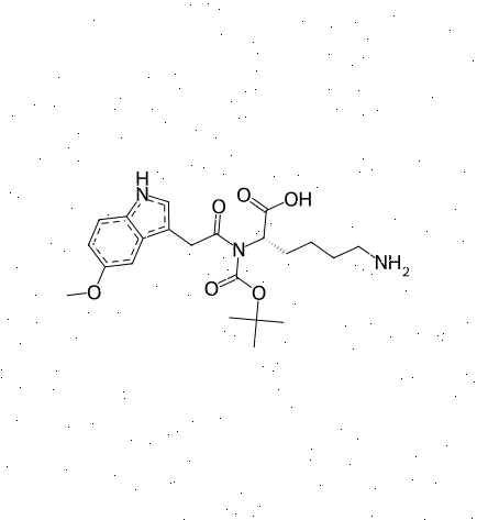 COc1ccc2[nH]cc(CC(=O)N(C(=O)OC(C)(C)C)[C@@H](CCCCN)C(=O)O)c2c1